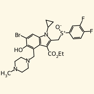 CCOC(=O)c1c(C[S+]([O-])c2ccc(F)c(F)c2)n(C2CC2)c2cc(Br)c(O)c(CN3CCN(C)CC3)c12